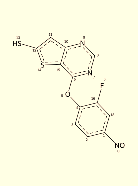 O=Nc1ccc(Oc2ncnc3cc(S)sc23)c(F)c1